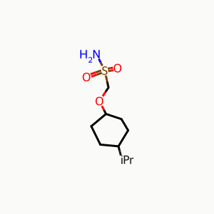 CC(C)C1CCC(OCS(N)(=O)=O)CC1